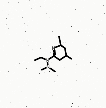 CCN(C1=NC(C)CC(C)C1)N(C)C